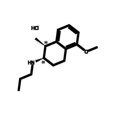 CCCN[C@H]1CCc2c(OC)cccc2[C@H]1C.Cl